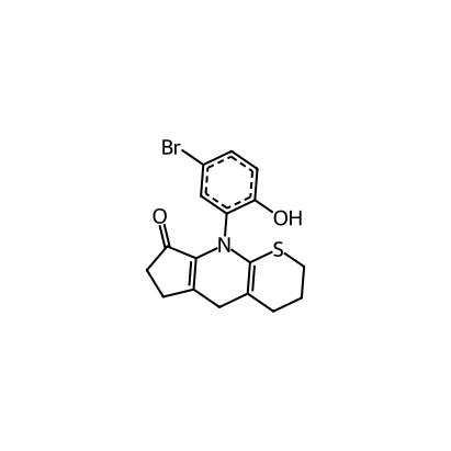 O=C1CCC2=C1N(c1cc(Br)ccc1O)C1=C(CCCS1)C2